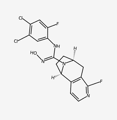 ON=C(Nc1cc(Cl)c(Cl)cc1F)N1[C@H]2CC[C@@H]1c1ccnc(F)c1C2